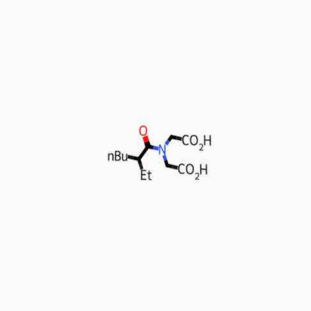 CCCCC(CC)C(=O)N(CC(=O)O)CC(=O)O